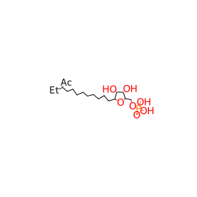 CCC(CCCCCCCCCC1OC(COP(=O)(O)O)C(O)C1O)C(C)=O